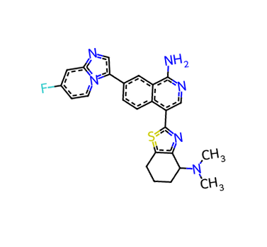 CN(C)C1CCCc2sc(-c3cnc(N)c4cc(-c5cnc6cc(F)ccn56)ccc34)nc21